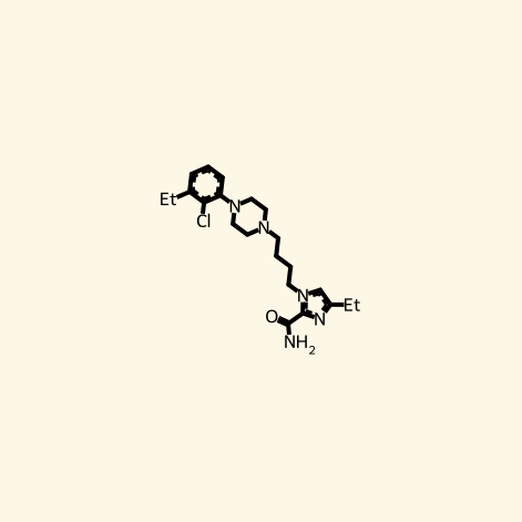 CCc1cn(CCCCN2CCN(c3cccc(CC)c3Cl)CC2)c(C(N)=O)n1